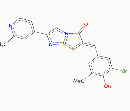 COc1cc(/C=c2\sc3nc(-c4ccnc(C)c4)cn3c2=O)cc(Br)c1O